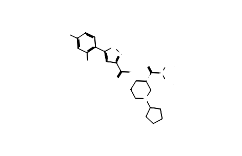 CN(C)C(=O)[C@H]1CN(C2CCCC2)CC[C@@H]1NC(=O)c1cc(-c2ccc(F)cc2F)on1